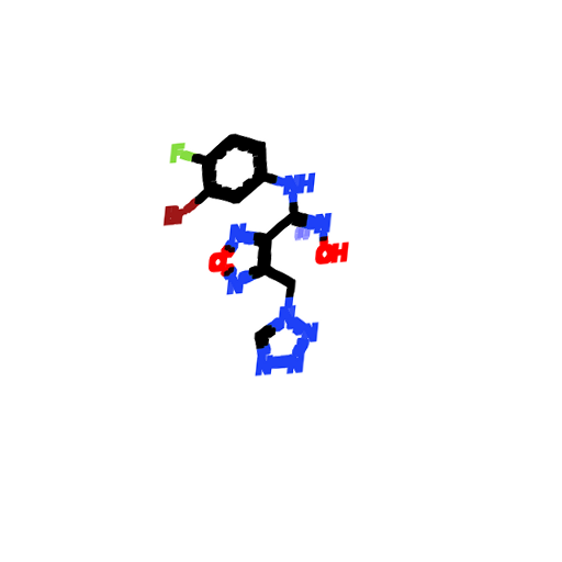 O/N=C(/Nc1ccc(F)c(Br)c1)c1nonc1Cn1cnnn1